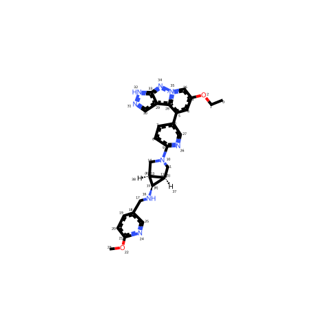 CCOc1cc(-c2ccc(N3C[C@@H]4[C@H](C3)[C@@H]4NCc3ccc(OC)nc3)nc2)c2c3cn[nH]c3nn2c1